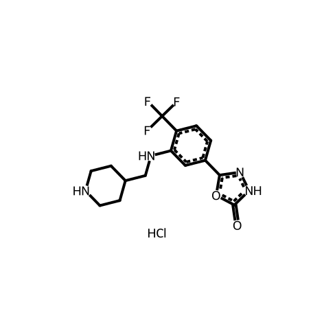 Cl.O=c1[nH]nc(-c2ccc(C(F)(F)F)c(NCC3CCNCC3)c2)o1